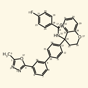 Cc1nnc(-c2cccc(-c3ccc(C4(NC(=O)c5ccc(F)cc5)CCOc5cccnc54)cc3)c2)o1